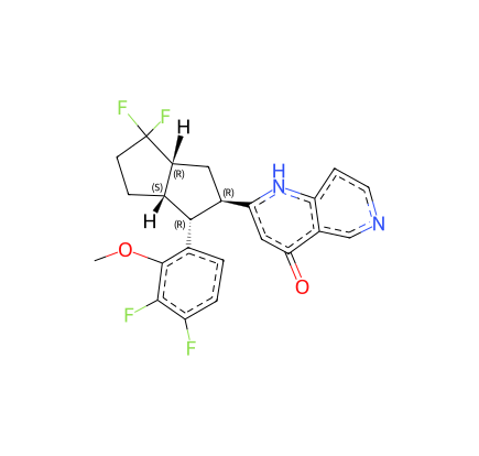 COc1c([C@@H]2[C@@H]3CCC(F)(F)[C@@H]3C[C@H]2c2cc(=O)c3cnccc3[nH]2)ccc(F)c1F